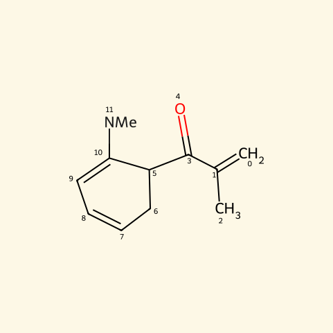 C=C(C)C(=O)C1CC=CC=C1NC